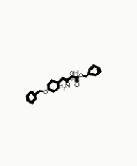 NC(Cc1ccc(OCc2ccccc2)cc1)[C@H](O)C(=O)OCc1ccccc1